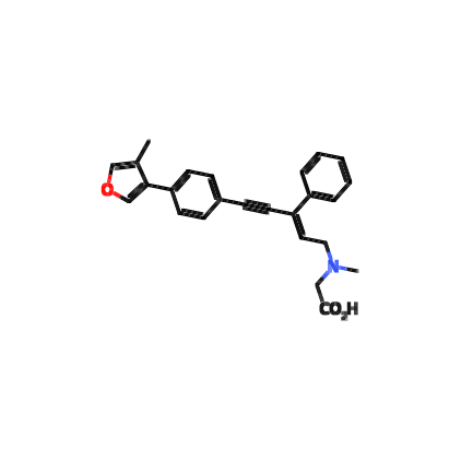 Cc1cocc1-c1ccc(C#CC(=CCN(C)CC(=O)O)c2ccccc2)cc1